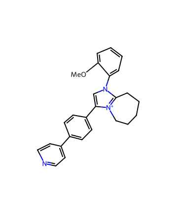 COc1ccccc1-n1cc(-c2ccc(-c3ccncc3)cc2)[n+]2c1CCCCC2